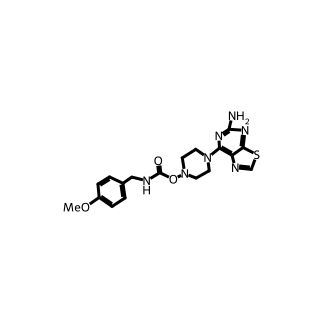 COc1ccc(CNC(=O)ON2CCN(c3nc(N)nc4scnc34)CC2)cc1